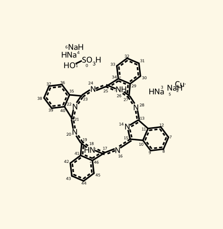 O=S(=O)(O)O.[Cu].[NaH].[NaH].[NaH].[NaH].c1ccc2c(c1)-c1nc-2nc2[nH]c(nc3nc(nc4[nH]c(n1)c1ccccc41)-c1ccccc1-3)c1ccccc21